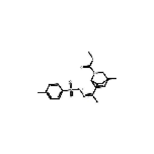 COC(=O)N1CC2(C)C=CC1C(/C(C)=N\NS(=O)(=O)c1ccc(C)cc1)C2